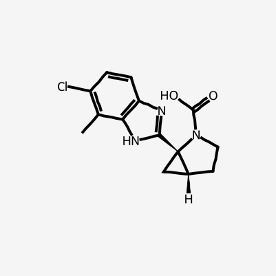 Cc1c(Cl)ccc2nc([C@]34C[C@H]3CCN4C(=O)O)[nH]c12